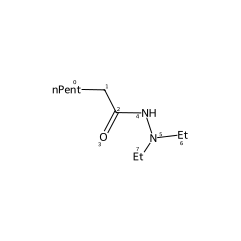 CCCCCCC(=O)NN(CC)CC